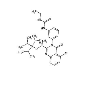 CCNC(=O)Nc1cccc(-n2c(C(C)O[Si](C(C)C)(C(C)C)C(C)C)nc3cccc(Cl)c3c2=O)c1